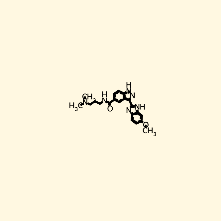 COc1ccc2nc(-c3n[nH]c4ccc(C(=O)NCCCN(C)C)cc34)[nH]c2c1